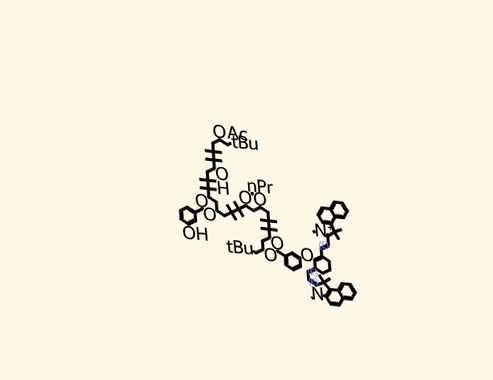 CCCC1OC(CC(C)(C)C(C)(C)C2CC(CC(C)(C)C)OC(c3cccc(OC4=C(/C=C/C5=[N+](C)c6ccc7ccccc7c6C5(C)C)CCC/C4=C\C=C4\N(C)c5ccc6ccccc6c5C4(C)C)c3)O2)CC(C(C)(C)C(C)(C)CC2CC(C(C)(C)C(C)(C)CC(O)C(C)(C)C(C)(C)CC(CC(C)(C)C)OC(C)=O)OC(c3cccc(O)c3)O2)O1